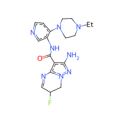 CCN1CCN(c2ccncc2NC(=O)c2c(N)nn3c2N=CC(F)C3)CC1